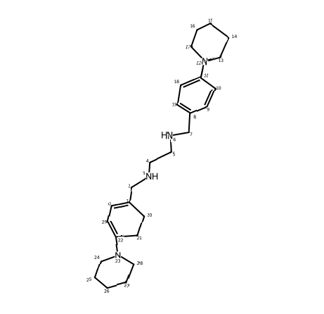 C1=C(CNCCNCc2ccc(N3CCCCC3)cc2)CCC(N2CCCCC2)=C1